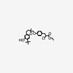 CCOC(=O)C(Cl)Cc1ccc(OCC2(C)CCc3cc(O)c(C(C)(C)C)cc3O2)cc1